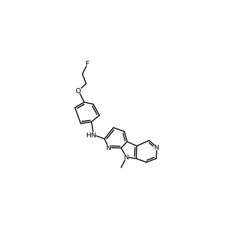 Cn1c2ccncc2c2ccc(Nc3ccc(OCCF)cc3)nc21